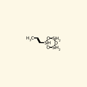 CC=C[SiH]1O[SiH2]O[SiH2]O1